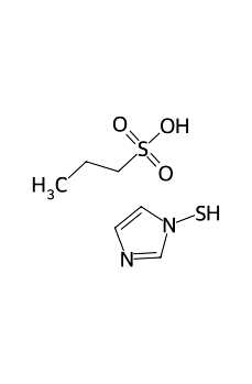 CCCS(=O)(=O)O.Sn1ccnc1